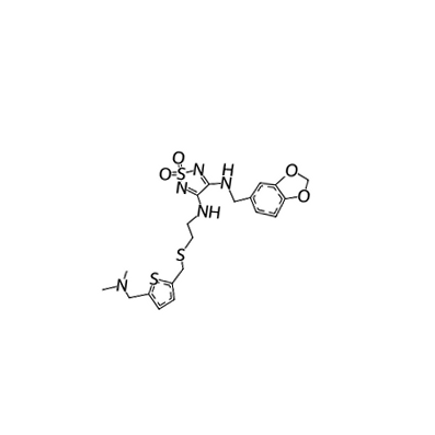 CN(C)Cc1ccc(CSCCNC2=NS(=O)(=O)N=C2NCc2ccc3c(c2)OCO3)s1